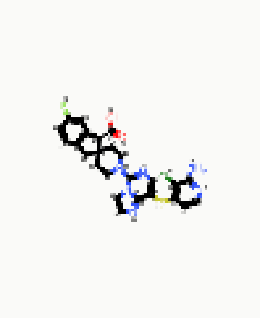 Nc1nccc(Sc2cnc(N3CCC4(CC3)Cc3ccc(F)cc3[C@H]4C(=O)O)n3ccnc23)c1Cl